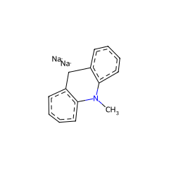 CN1c2ccccc2Cc2ccccc21.[Na].[Na]